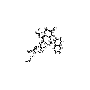 CSCC[C@H](NC(=O)C[C@@H]1O[C@@H](c2cccc3ccccc23)c2cc(Cl)ccc2N(CC(C)(C)C)C1=O)C(=O)O